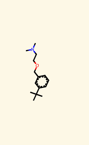 CN(C)CCOCc1cccc(C(C)(C)C)c1